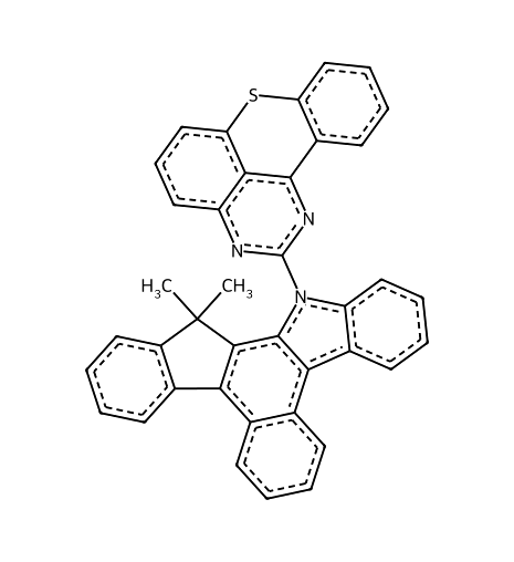 CC1(C)c2ccccc2-c2c1c1c(c3ccccc23)c2ccccc2n1-c1nc2c3c(cccc3n1)Sc1ccccc1-2